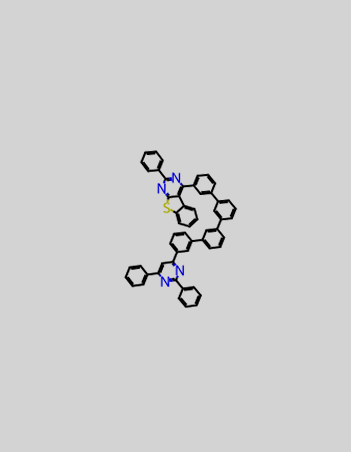 c1ccc(-c2cc(-c3cccc(-c4cccc(-c5cccc(-c6cccc(-c7nc(-c8ccccc8)nc8sc9ccccc9c78)c6)c5)c4)c3)nc(-c3ccccc3)n2)cc1